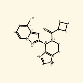 O=C(C1CCC1)N1CCc2[nH]cnc2[C@H]1c1cc2c(F)cccn2n1